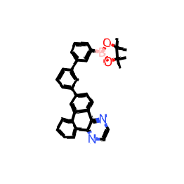 CC1(C)OB(c2cccc(-c3cccc(-c4ccc5c(c4)c4ccccc4c4nccnc54)c3)c2)OC1(C)C